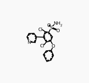 NS(=O)(=O)c1cc(Oc2ccccc2)c(Cl)c(-c2cccnc2)c1Cl